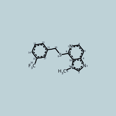 Cn1cnc2ccnc(SCc3cccc(C(F)(F)F)c3)c21